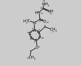 CCOc1ccc(N(C)C(=O)NC(=N)N)c(CC)c1